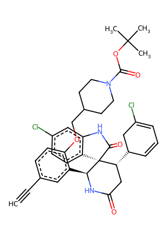 C#Cc1ccc(OCC2CCN(C(=O)OC(C)(C)C)CC2)c([C@@H]2NC(=O)C[C@@H](C3C=CC=C(Cl)C3)[C@]23C(=O)Nc2cc(Cl)ccc23)c1